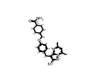 CCc1nn2c(C)cc(C)nc2c1Cc1ccc(OCC2CCC(C(N)=O)CC2)cc1